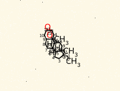 CC[C@H]1CC[C@H]2[C@@H]3CCC4CC56OC5(C[C@]4(C)[C@H]3CC[C@]12C)O6